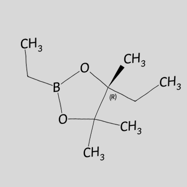 CCB1OC(C)(C)[C@@](C)(CC)O1